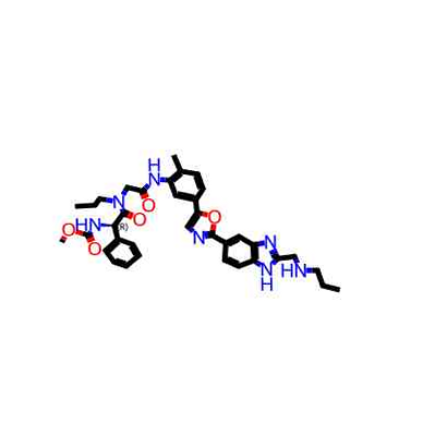 CCCNCc1nc2cc(-c3ncc(-c4ccc(C)c(NC(=O)CN(CCC)C(=O)[C@H](NC(=O)OC)c5ccccc5)c4)o3)ccc2[nH]1